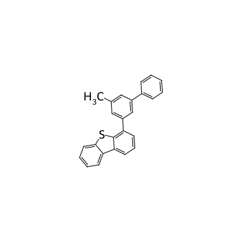 Cc1cc(-c2ccccc2)cc(-c2cccc3c2sc2ccccc23)c1